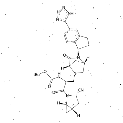 CC(C)(C)OC(=O)N[C@@H](CN1C[C@@H]2C[C@H]1C(=O)N2[C@@H]1CCc2cc(-c3nnn[nH]3)ccc21)C(=O)N1[C@H](C#N)C[C@@H]2C[C@@H]21